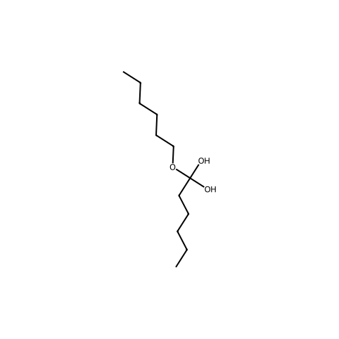 CCCCCCOC(O)(O)CCCCC